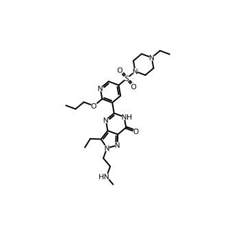 CCCOc1ncc(S(=O)(=O)N2CCN(CC)CC2)cc1-c1nc2c(CC)n(CCNC)nc2c(=O)[nH]1